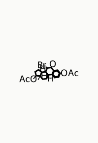 CC(=O)Oc1ccc2c(c1)C(=O)C(Br)[C@@H]1[C@@H]2CC[C@]2(C)[C@@H](OC(C)=O)CC[C@@H]12